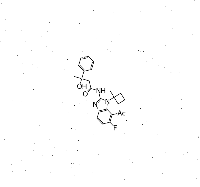 CC(=O)c1c(F)ccc2nc(NC(=O)CC(C)(O)c3ccccc3)n(C3(C)CCC3)c12